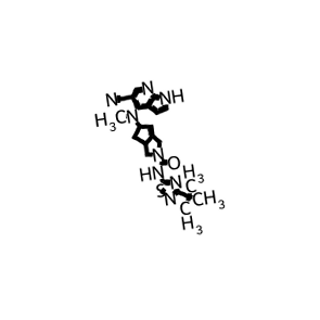 CN(c1c(C#N)cnc2[nH]ccc12)C1C=C2CN(C(=O)Nc3nc(C(C)(C)C)ns3)CC2C1